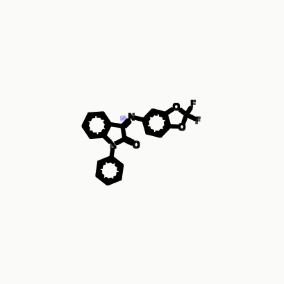 O=C1/C(=N\c2ccc3c(c2)OC(F)(F)O3)c2ccccc2N1c1ccccc1